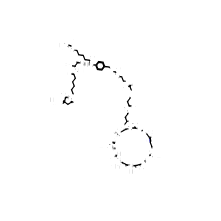 CCC[C@@H]1NC(=O)CN(C)C(=O)CN(C)C(=O)[C@H](CCCCNC(=O)CCOCC(C)(C)OCCNC(=O)OCc2ccc(NC(=O)C(CCCNC(N)=O)NC(=O)C(NC(=O)CCCCCN3C(=O)CC(C)(CCC)C3=O)C(C)C)cc2)NC(=O)COC(=O)/C(C)=C/CC[C@H](C)COC(=O)[C@@H](C)NC1=O